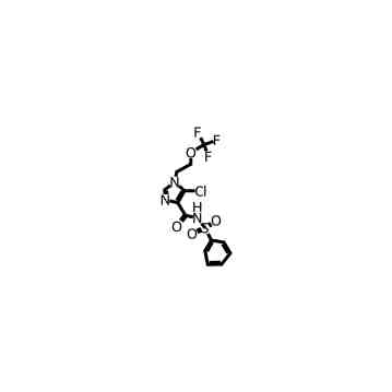 O=C(NS(=O)(=O)c1ccccc1)c1ncn(CCOC(F)(F)F)c1Cl